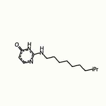 CC(C)CCCCCCCNc1nccc(=O)[nH]1